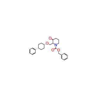 O=C1CCCN(C(=O)OCc2ccccc2)C1CO[C@H]1CC[C@@H](c2ccccc2)CC1